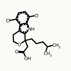 CC(C)CCCC1(CC(=O)O)OCCc2c1[nH]c1c(Cl)ccc(Cl)c21